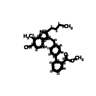 CCCCc1nc2c(C)c(Cl)cnc2n1Cc1ccc(-c2ccccc2C(=O)OC)cc1